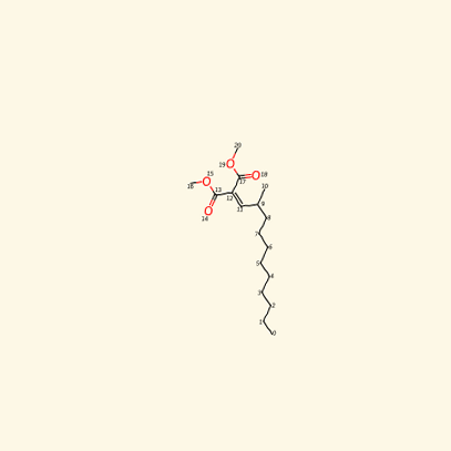 CCCCCCCCCC(C)C=C(C(=O)OC)C(=O)OC